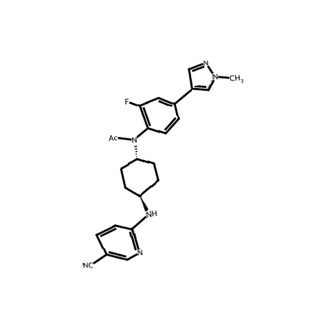 CC(=O)N(c1ccc(-c2cnn(C)c2)cc1F)[C@H]1CC[C@H](Nc2ccc(C#N)cn2)CC1